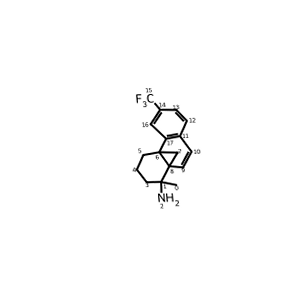 CC1(N)CCCC23CC12C=Cc1ccc(C(F)(F)F)cc13